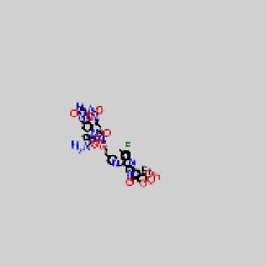 CCC1(O)C(=O)OCc2c1cc1n(c2=O)Cc2c-1nc1cc(F)c(C)cc1c2CN1CCC(CCOCNC(=O)[C@H](CCCNC(N)=O)N(C(=O)C2(C(N)=O)CCC2)C2CCC(CN3C(=O)C=CC3=O)CC2)CC1